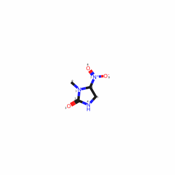 CN1C(=O)N[CH]C1[N+](=O)[O-]